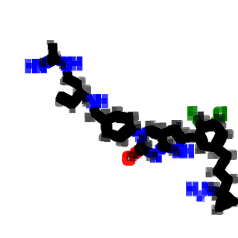 C=C[C@@H](CCNC(C)=N)NCc1ccc(-n2cc3cc(-c4cc(CCCC5(N)CC5)cc(Cl)c4F)[nH]c3nc2=O)cc1